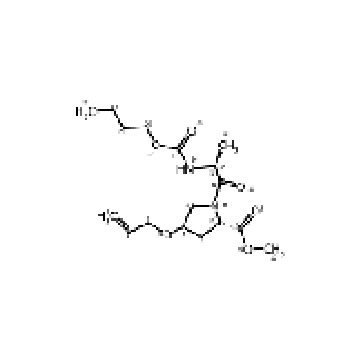 C=CCOC1C[C@@H](C(=O)OC)N(C(=O)[C@H](C)NC(=O)OCCCC)C1